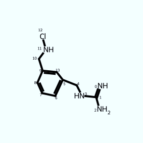 N=C(N)NCc1cccc(CNCl)c1